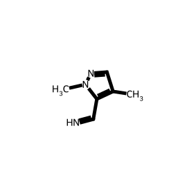 Cc1cnn(C)c1C=N